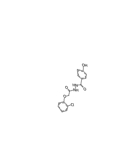 O=C(COc1ccccc1Cl)NNC(=O)c1ccc(O)cc1